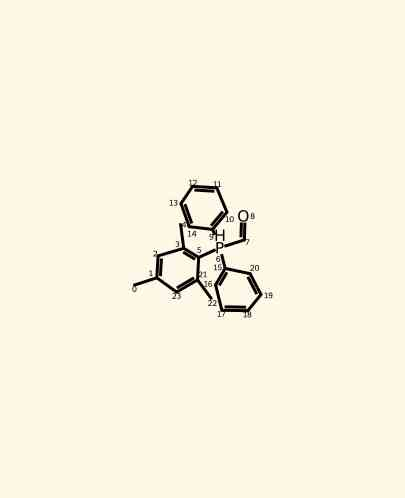 Cc1cc(C)c([PH](C=O)(c2ccccc2)c2ccccc2)c(C)c1